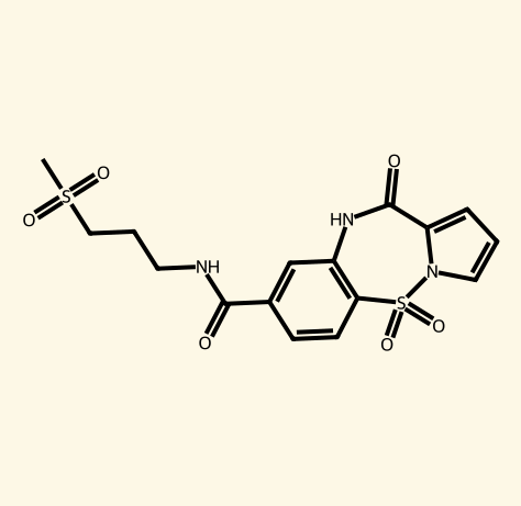 CS(=O)(=O)CCCNC(=O)c1ccc2c(c1)NC(=O)c1cccn1S2(=O)=O